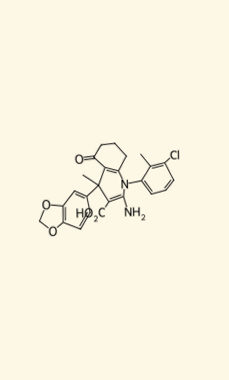 Cc1c(Cl)cccc1N1C(N)=C(C(=O)O)C(C)(c2ccc3c(c2)OCO3)C2=C1CCCC2=O